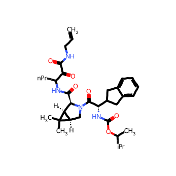 C=CCNC(=O)C(=O)C(CCC)NC(=O)[C@@H]1[C@H]2[C@@H](CN1C(=O)[C@@H](NC(=O)OC(C)C(C)C)C1Cc3ccccc3C1)C2(C)C